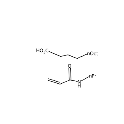 C=CC(=O)NCCC.CCCCCCCCCCCC(=O)O